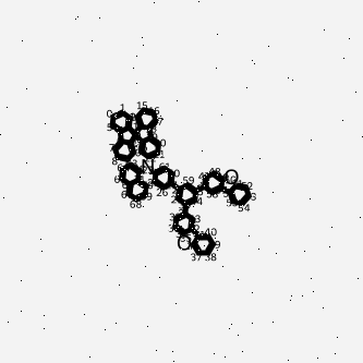 c1ccc2c(c1)-c1ccccc1C21c2ccccc2-c2ccc(N(c3ccc(-c4cc(-c5ccc6oc7ccccc7c6c5)cc(-c5ccc6oc7ccccc7c6c5)c4)cc3)c3cccc4ccccc34)cc21